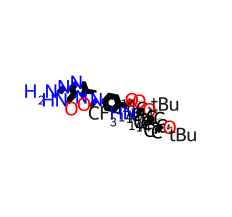 CC(C)(C)O[14C](=O)[14C@H]([14CH2][14c]1[14cH][14cH][14c](OC(C)(C)C)[14cH][14cH]1)NC(=O)c1ccc(N(Cc2cnc3nc(N)[nH]c(=O)c3n2)C(=O)C(F)(F)F)cc1